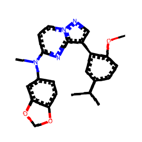 COc1ccc(C(C)C)cc1-c1cnn2ccc(N(C)c3ccc4c(c3)OCO4)nc12